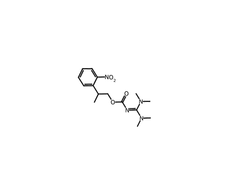 CC(COC(=O)N=C(N(C)C)N(C)C)c1ccccc1[N+](=O)[O-]